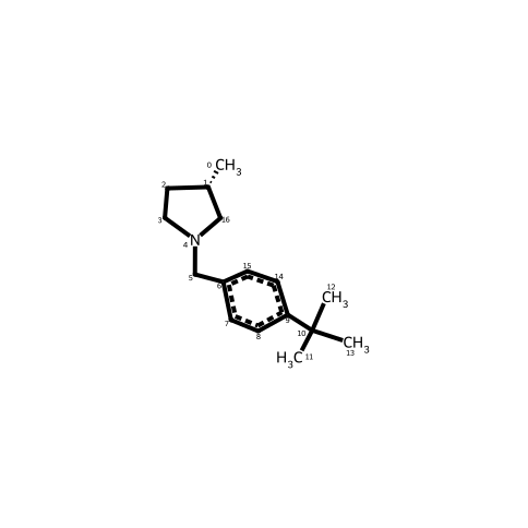 C[C@H]1CCN(Cc2ccc(C(C)(C)C)cc2)C1